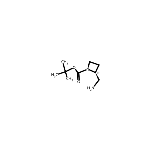 CC(C)(C)OC(=O)N1CC[C@H]1CN